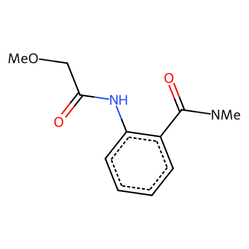 CNC(=O)c1ccccc1NC(=O)COC